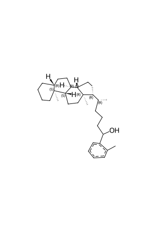 Cc1ccccc1C(O)CCC[C@@H](C)[C@H]1CC[C@H]2[C@@H]3CC[C@H]4CCCC[C@]4(C)[C@H]3CC[C@]12C